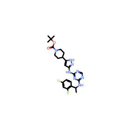 CC(Nc1ncnc(Nc2cc(C3CCN(C(=O)OC(C)(C)C)CC3)[nH]n2)n1)c1ccc(F)cc1F